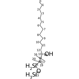 CCCCCCCCCCCCCC(O)C(C)(C)C(C)(C)[SiH2]O[SiH3]